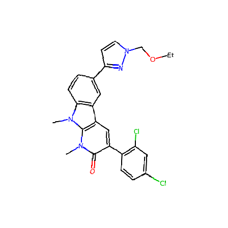 CCOCn1ccc(-c2ccc3c(c2)c2cc(-c4ccc(Cl)cc4Cl)c(=O)n(C)c2n3C)n1